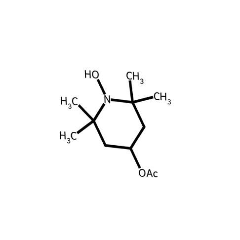 CC(=O)OC1CC(C)(C)N(O)C(C)(C)C1